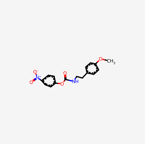 COc1ccc(CCNC(=O)Oc2ccc([N+](=O)[O-])cc2)cc1